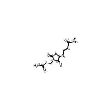 CNC(=O)CCSC1CC(=O)N(CCC(N)=O)C1=O